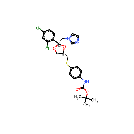 CC(C)(C)OC(=O)Nc1ccc(SC[C@@H]2CO[C@@](Cn3ccnc3)(c3ccc(Cl)cc3Cl)O2)cc1